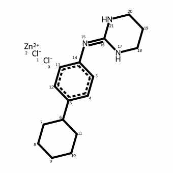 [Cl-].[Cl-].[Zn+2].c1cc(C2CCCCC2)ccc1N=C1NCCCN1